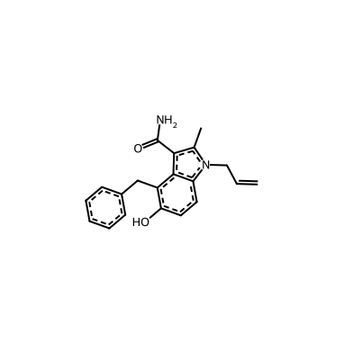 C=CCn1c(C)c(C(N)=O)c2c(Cc3ccccc3)c(O)ccc21